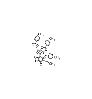 CC#Cc1cn([C@@H]2O[C@H](COC(=O)c3ccc(C)cc3)[C@@H](OC(=O)c3ccc(C)cc3)[C@@H]2OC(=O)c2ccc(C)cc2)c(=O)[nH]c1=O